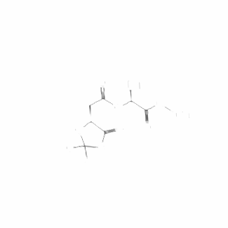 CCCCOC(=O)[C@H](P)OC(=O)C[C@@H]1OC(C)(C)OC1=O